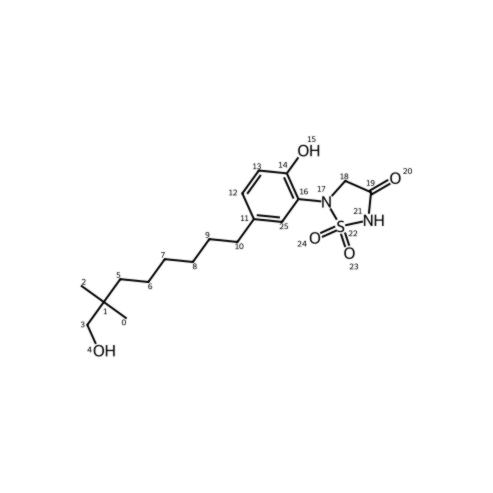 CC(C)(CO)CCCCCCc1ccc(O)c(N2CC(=O)NS2(=O)=O)c1